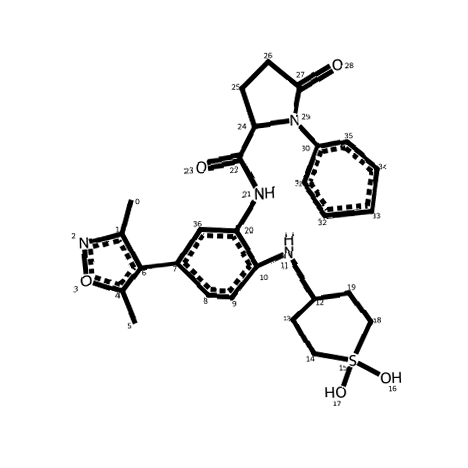 Cc1noc(C)c1-c1ccc(NC2CCS(O)(O)CC2)c(NC(=O)C2CCC(=O)N2c2ccccc2)c1